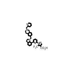 O=C(O)c1cnn(-c2cccc(-c3cccc4c3N(Cc3ccc5c(c3)CCN(Cc3ccccn3)C5)CC4)n2)c1C(F)(F)F